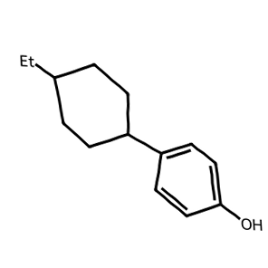 CCC1CCC(c2ccc(O)cc2)CC1